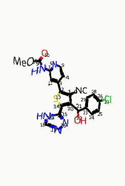 [C-]#[N+]c1c(-c2ccnc(NC(=O)OC)c2)sc(-c2nnc[nH]2)c1C(O)c1ccc(Cl)cc1